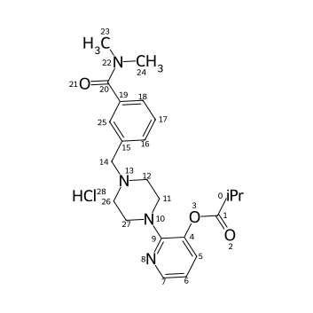 CC(C)C(=O)Oc1cccnc1N1CCN(Cc2cccc(C(=O)N(C)C)c2)CC1.Cl